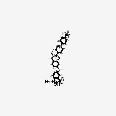 CN(CC1CCC(Nc2ccc(N(O)O)c(C(F)(F)F)c2)CC1)C(=O)C1CCN(c2ccc(C(F)(F)F)cc2)CC1